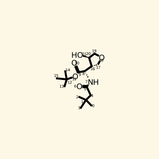 CC(C)(C)CC(=O)N[C@H](C(=O)OC(C)(C)C)[C@H]1COC[C@@H]1O